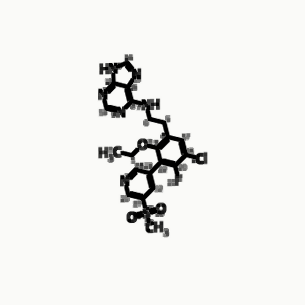 CCOc1c(CCNc2ncnc3[nH]cnc23)cc(Cl)c(F)c1-c1cncc(S(C)(=O)=O)c1